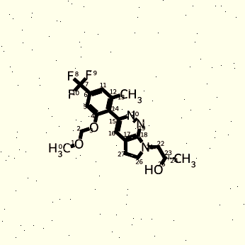 COCOc1cc(C(F)(F)F)cc(C)c1-c1cc2c(nn1)N(C[C@H](C)O)CC2